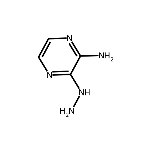 NNc1nccnc1N